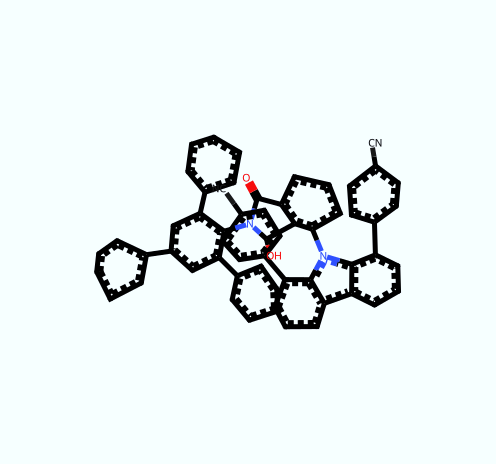 N#Cc1ccc(-c2cccc3c4cccc(-c5ccc(C#N)cc5)c4n(-c4cccc5c4C(O)N(c4c(-c6ccccc6)cc(-c6ccccc6)cc4-c4ccccc4)C5=O)c23)cc1